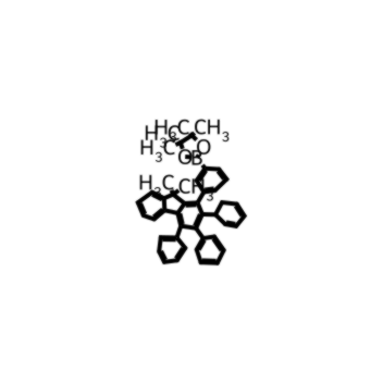 CC1(C)c2ccccc2-c2c(-c3ccccc3)c(-c3ccccc3)c(C3C=CC=CC3)c(-c3cccc(B4OC(C)(C)C(C)(C)O4)c3)c21